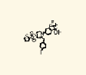 C[C@@](O)(c1ccc(N2CCN(S(=O)(=O)c3cccs3)C[C@@H]2Cc2ccc(F)cc2)cc1)C(F)(F)F